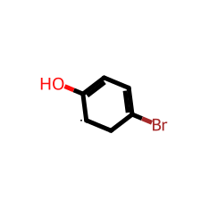 OC1=CC=C(Br)C[CH]1